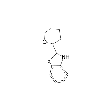 c1ccc2c(c1)NC(C1CCCCO1)S2